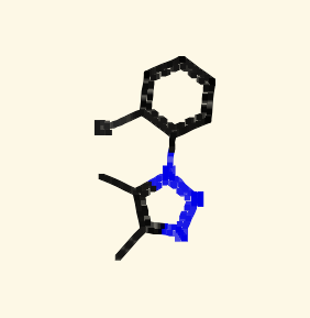 CCc1ccccc1-n1nnc(C)c1C